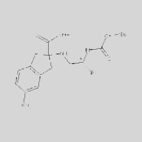 CNC(=O)C1(NC[C@H](NC(=O)OC(C)(C)C)C(C)C)Cc2ccc([N+](=O)[O-])cc2C1